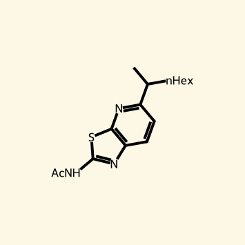 CCCCCCC(C)c1ccc2nc(NC(C)=O)sc2n1